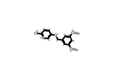 COc1cc(COc2ccc(Cl)nc2)cc(OC)c1